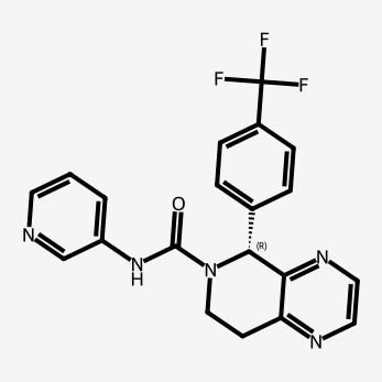 O=C(Nc1cccnc1)N1CCc2nccnc2[C@H]1c1ccc(C(F)(F)F)cc1